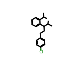 CC(C)[C](CCc1ccc(Cl)cc1)c1ccccc1C(C)C